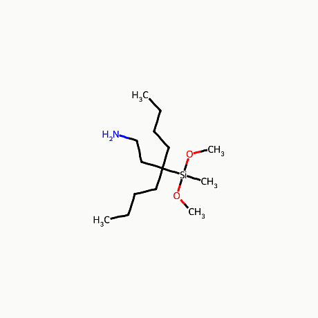 CCCCC(CCN)(CCCC)[Si](C)(OC)OC